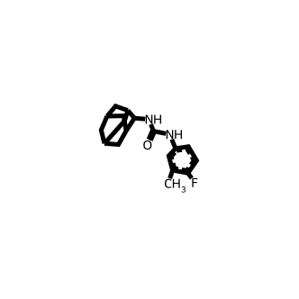 Cc1cc(NC(=O)NC2C3CC4CC(C3)CC2C4)ccc1F